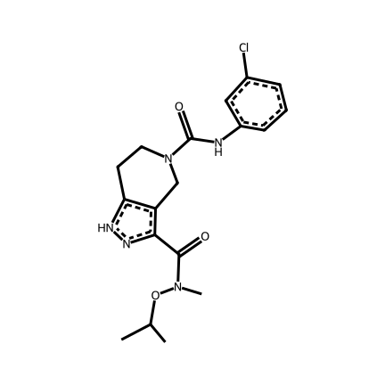 CC(C)ON(C)C(=O)c1n[nH]c2c1CN(C(=O)Nc1cccc(Cl)c1)CC2